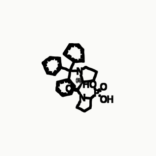 O=C([C@@H]1CCCN1C(c1ccccc1)(c1ccccc1)c1ccccc1)N1CCCC1P(=O)(O)O